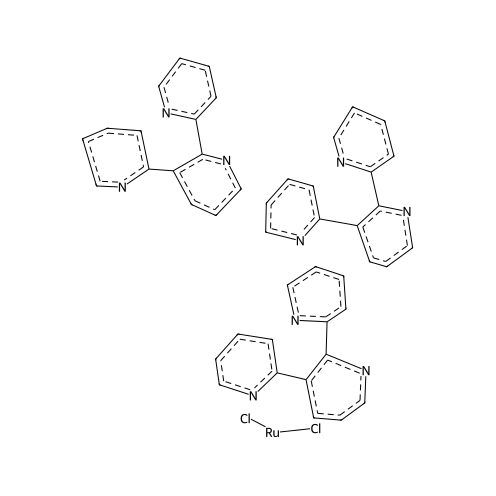 [Cl][Ru][Cl].c1ccc(-c2cccnc2-c2ccccn2)nc1.c1ccc(-c2cccnc2-c2ccccn2)nc1.c1ccc(-c2cccnc2-c2ccccn2)nc1